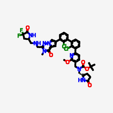 COc1nc(-c2cccc(-c3cccc(-c4cc5c(=O)n(C)c(CNCC6CC(F)(F)C(=O)N6)nn5c4)c3Cl)c2Cl)ccc1CN(C[C@@H]1CCC(=O)N1)C(=O)OC(C)(C)C